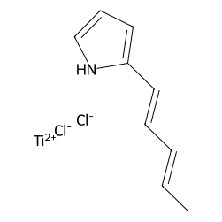 CC=CC=Cc1ccc[nH]1.[Cl-].[Cl-].[Ti+2]